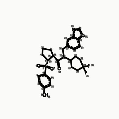 Cc1ccc(S(=O)(=O)[C@@H]2CCC[C@H]2C(=O)N(Cc2ccc3ocnc3c2)C2CCC(F)(F)CC2)cc1